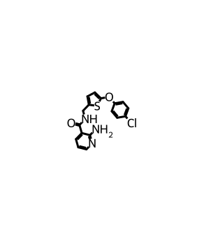 Nc1ncccc1C(=O)NCc1ccc(Oc2ccc(Cl)cc2)s1